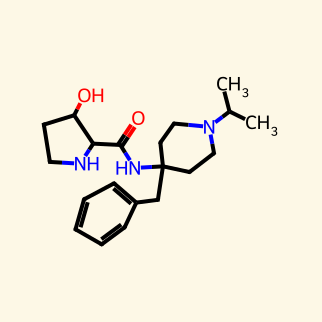 CC(C)N1CCC(Cc2ccccc2)(NC(=O)C2NCCC2O)CC1